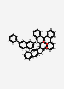 c1ccc(-c2ccc3ccc(N(c4ccccc4-c4cc5ccccc5c5ccccc45)c4cccc5oc6cc7ccccc7cc6c45)cc3c2)cc1